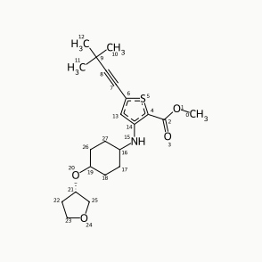 COC(=O)c1sc(C#CC(C)(C)C)cc1NC1CCC(O[C@H]2CCOC2)CC1